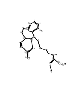 CC=C(NCCCCN1c2ccccc2CCc2ccc(Cl)cc21)C(=O)O